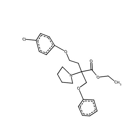 CCOC(=O)C(CCOc1ccc(Cl)cc1)(COc1ccccc1)N1CCCC1